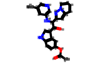 CCCCC(=O)Oc1ccc2[nH]cc(C(=O)C(Nc3cncc(OC)c3)c3cc4ccccn4n3)c2c1